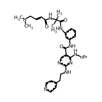 CCCNc1nc(NCCc2ccncc2)ncc1C(=O)Nc1cccc(NC(=O)C(C)(C)NC(=O)/C=C/CN(C)C)c1